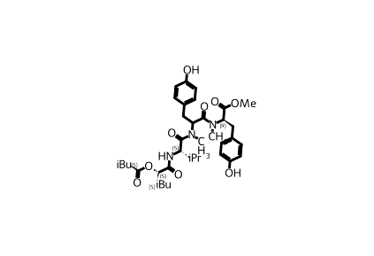 CC[C@H](C)C(=O)O[C@H](C(=O)N[C@H](C(=O)N(C)C(Cc1ccc(O)cc1)C(=O)N(C)[C@H](Cc1ccc(O)cc1)C(=O)OC)C(C)C)[C@@H](C)CC